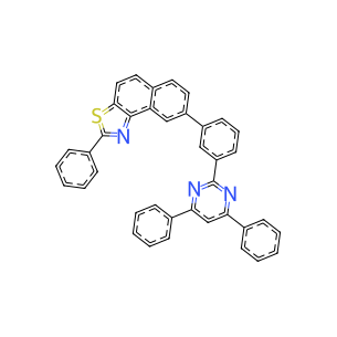 c1ccc(-c2cc(-c3ccccc3)nc(-c3cccc(-c4ccc5ccc6sc(-c7ccccc7)nc6c5c4)c3)n2)cc1